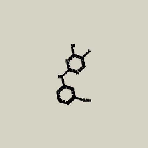 COc1cccc(Nc2ncc(F)c(S)n2)c1